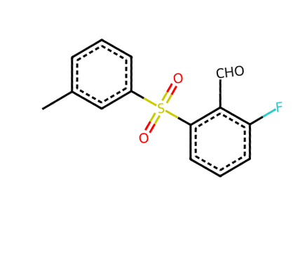 Cc1cccc(S(=O)(=O)c2cccc(F)c2C=O)c1